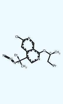 CC[C@@](C)(N=[N+]=[N-])c1cnc(O[C@@H](C)C[C](C)C)c2cnc(Cl)cc12